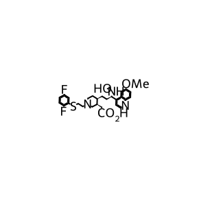 COc1ccc2nccc([C@@H](CC[C@@H]3CCN(CCSc4cc(F)ccc4F)C[C@@H]3CC(=O)O)NO)c2c1